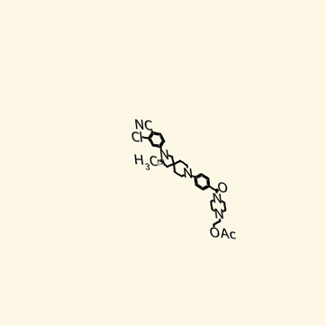 CC(=O)OCCN1CCN(C(=O)c2ccc(N3CCC4(CC3)C[C@H](C)N(c3ccc(C#N)c(Cl)c3)C4)cc2)CC1